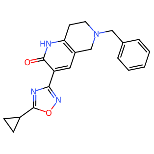 O=c1[nH]c2c(cc1-c1noc(C3CC3)n1)CN(Cc1ccccc1)CC2